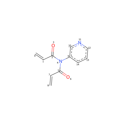 C=CC(=O)N(C(=O)C=C)c1[c]nccc1